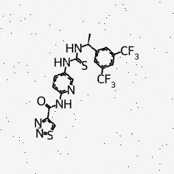 C[C@H](NC(=S)Nc1ccc(NC(=O)c2csnn2)nc1)c1cc(C(F)(F)F)cc(C(F)(F)F)c1